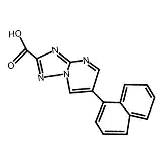 O=C(O)c1nc2ncc(-c3cccc4ccccc34)cn2n1